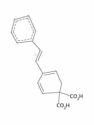 O=C(O)C1(C(=O)O)C=CC(/C=C/c2ccccc2)=CC1